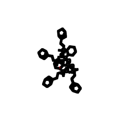 C[Si](C)(CCC1=C2CCC(C2)C1)O[Si](O[Si](C)(C)CCC1=C2CCC(C2)C1)(O[Si](O[Si](C)(C)CCC1=C2CCC(C2)C1)(O[Si](C)(C)CCC1=C2CCC(C2)C1)C1CCCCC1)C1CCCCC1